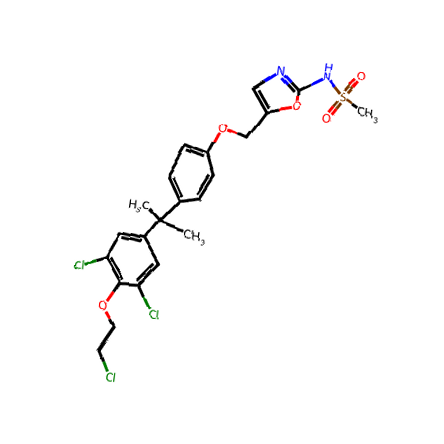 CC(C)(c1ccc(OCc2cnc(NS(C)(=O)=O)o2)cc1)c1cc(Cl)c(OCCCl)c(Cl)c1